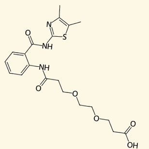 Cc1nc(NC(=O)c2ccccc2NC(=O)CCOCCOCCC(=O)O)sc1C